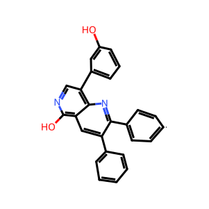 Oc1cccc(-c2cnc(O)c3cc(-c4ccccc4)c(-c4cc[c]cc4)nc23)c1